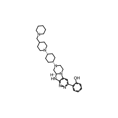 Oc1ccccc1-c1cc2c(nn1)N[C@H]1CN([C@H]3CC[C@@H](N4CCC(CN5CCCCC5)CC4)CC3)CCN21